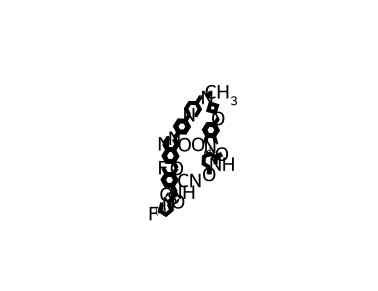 CN(CC1CCN(c2ccc(-n3cnc4ccc(Oc5c(F)ccc(NS(=O)(=O)N6CC[C@@H](F)C6)c5C#N)cc4c3=O)cc2)CC1)[C@H]1C[C@H](Oc2ccc3c(c2)CN([C@H]2CCC(=O)NC2=O)C3=O)C1